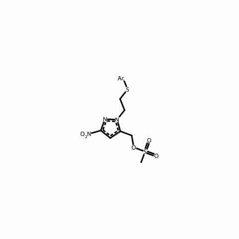 CC(=O)SCCn1nc([N+](=O)[O-])cc1COS(C)(=O)=O